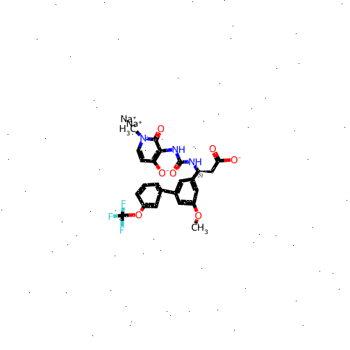 COc1cc(-c2cccc(OC(F)(F)F)c2)cc([C@H](CC(=O)[O-])NC(=O)Nc2c([O-])ccn(C)c2=O)c1.[Na+].[Na+]